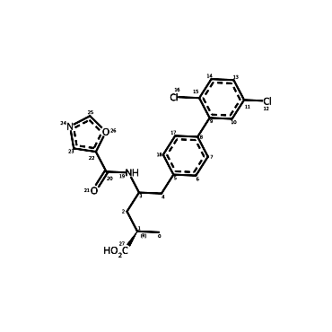 C[C@H](CC(Cc1ccc(-c2cc(Cl)ccc2Cl)cc1)NC(=O)c1cnco1)C(=O)O